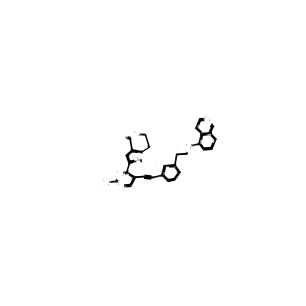 Cn1c(-c2nc(N)ncc2C#Cc2cccc(CC(=O)Nc3cccc4cnccc34)c2)cc2c1CCNC2=O